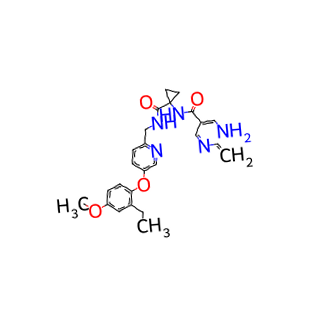 C=C/N=C\C(=C/N)C(=O)NC1(C(=O)NCc2ccc(Oc3ccc(OC)cc3CC)cn2)CC1